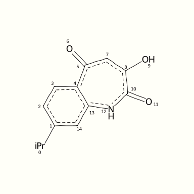 CC(C)c1ccc2c(=O)cc(O)c(=O)[nH]c2c1